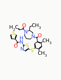 C=CC(=O)N1CCCN(C(=O)c2cc(Sc3cnc(NC(=O)c4ccsc4)s3)c(C)cc2C)CC1CC